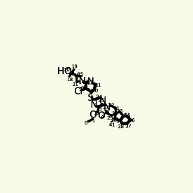 CCOC(=O)c1nc(Sc2ccnc(N3CC(C(C)(C)O)C3)c2Cl)cnc1N1CCC2(CC1)Cc1ccccc1[C@H]2C